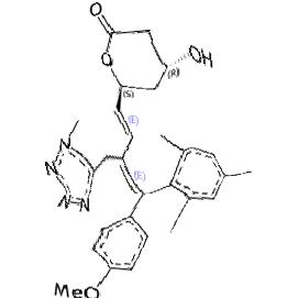 COc1ccc(/C(=C(/C=C/[C@@H]2C[C@@H](O)CC(=O)O2)c2nnnn2C)c2c(C)cc(C)cc2C)cc1